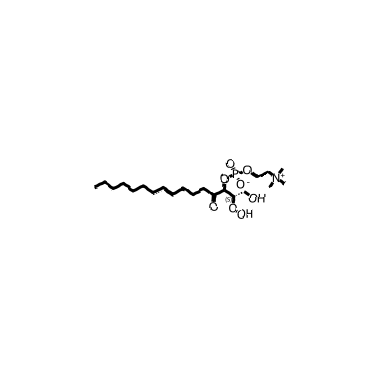 CCCCCCCCCCCCC(=O)C(OP(=O)([O-])OCC[N+](C)(C)C)[C@H](CO)OO